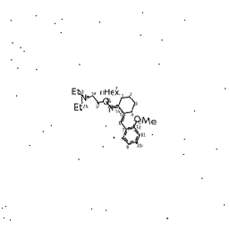 CCCCCC[C@@H]1CCCC(=C\c2ccccc2OC)/C1=N/OCCN(CC)CC